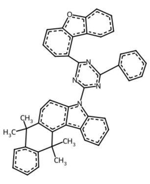 CC1(C)c2ccccc2C(C)(C)c2c1ccc1c2c2ccccc2n1-c1nc(-c2ccccc2)nc(-c2cccc3oc4ccccc4c23)n1